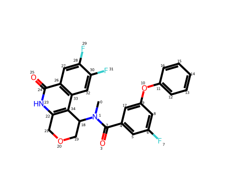 CN(C(=O)c1cc(F)cc(Oc2ccccc2)c1)C1COCc2[nH]c(=O)c3cc(F)c(F)cc3c21